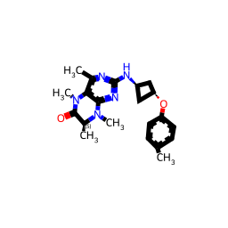 Cc1ccc(O[C@H]2C[C@H](Nc3nc(C)c4c(n3)N(C)[C@@H](C)C(=O)N4C)C2)cc1